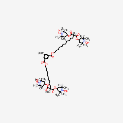 CCCCC(CCCCCCCCCCCOC(=O)c1cc(C=O)cc(C(=O)OCCCCCCCCCCC(CCCC)(C(=O)OC2CC(C)(C)N(O)C(C)(C)C2)C(=O)OC2CC(C)(C)N(O)C(C)(C)C2)c1)(C(=O)OC1CC(C)(C)N(O)C(C)(C)C1)C(=O)OC1CC(C)(C)N(O)C(C)(C)C1